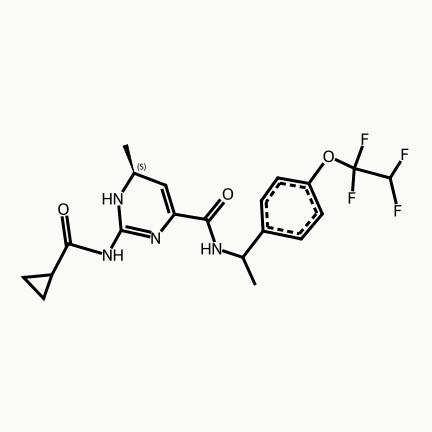 CC(NC(=O)C1=C[C@H](C)NC(NC(=O)C2CC2)=N1)c1ccc(OC(F)(F)C(F)F)cc1